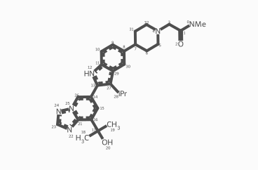 CNC(=O)CN1CCC(c2ccc3[nH]c(-c4cc(C(C)(C)O)c5ncnn5c4)c(C(C)C)c3c2)CC1